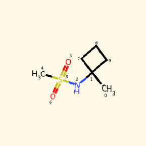 CC1(NS(C)(=O)=O)CCC1